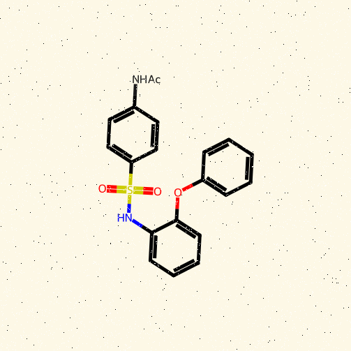 CC(=O)Nc1ccc(S(=O)(=O)Nc2ccccc2Oc2ccccc2)cc1